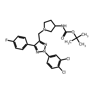 CC(C)(C)OC(=O)NC1CCN(Cc2nn(-c3ccc(Cl)c(Cl)c3)nc2-c2ccc(F)cc2)C1